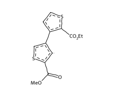 CCOC(=O)c1sccc1-c1[c]c(C(=O)OC)sc1